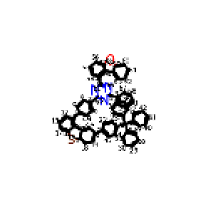 c1ccc(-c2nc(-c3ccc(-c4cccc5sc6ccc(-c7ccc(C(c8ccccc8)(c8ccccc8)c8ccccc8)cc7)cc6c45)cc3)nc(-c3cccc4oc5ccccc5c34)n2)cc1